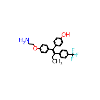 CCC(=C(c1ccc(O)cc1)c1ccc(OCCN)cc1)c1ccc(C(F)(F)F)cc1